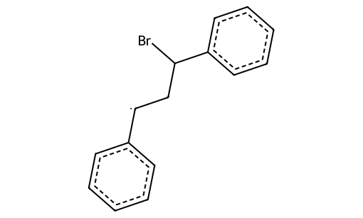 BrC(C[CH]c1ccccc1)c1ccccc1